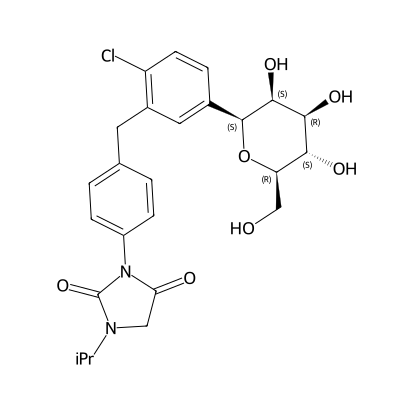 CC(C)N1CC(=O)N(c2ccc(Cc3cc([C@@H]4O[C@H](CO)[C@@H](O)[C@H](O)[C@@H]4O)ccc3Cl)cc2)C1=O